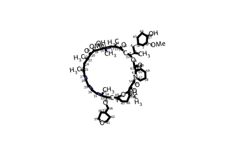 CO[C@@H]1C[C@H](CC(C)[C@@H]2CC(=O)[C@H](C)/C=C(\C)[C@@H](O)[C@@H](OC)C(=O)[C@H](C)C[C@H](C)/C=C/C=C/C=C(\C)[C@@H](OCC3CCOCC3)C[C@@H]3CC[C@@H](C)[C@@](O)(O3)C(=O)C(=O)N3CCCC[C@H]3C(=O)O2)CC[C@H]1O